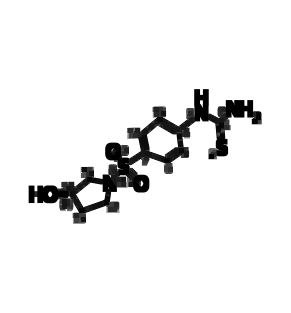 NC(=S)Nc1ccc(S(=O)(=O)N2CC[C@@H](O)C2)cc1